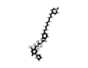 Cc1cc(Cl)c(C(=O)NC(=O)Nc2nc3ccc(CCCCCCCCCC4CCN(C)CC4)cc3s2)cc1-n1cccn1